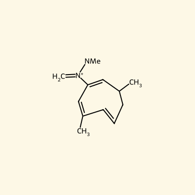 C=[N+](NC)C1=C/C(C)C/C=C/C(C)=C\1